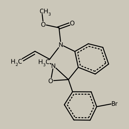 C=CCN(C(=O)OC)c1ccccc1C1(c2cccc(Br)c2)ON1C